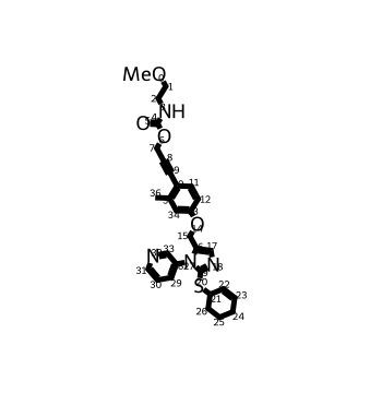 COCCNC(=O)OCC#Cc1ccc(OCc2cnc(SC3C=CCCC3)n2-c2cccnc2)cc1C